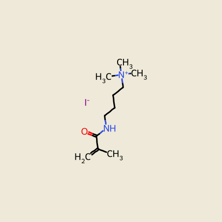 C=C(C)C(=O)NCCCC[N+](C)(C)C.[I-]